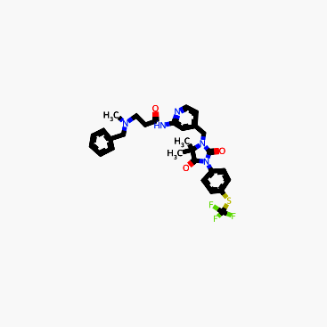 CN(CCC(=O)Nc1cc(CN2C(=O)N(c3ccc(SC(F)(F)F)cc3)C(=O)C2(C)C)ccn1)Cc1ccccc1